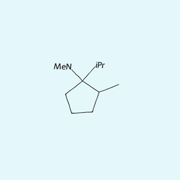 CNC1(C(C)C)CCCC1C